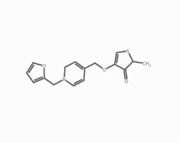 CC1SC=C(OCC2=CCN(Cc3ccco3)C=C2)C1=O